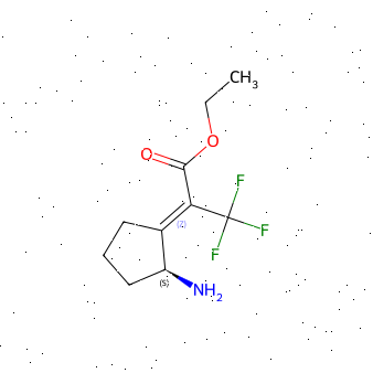 CCOC(=O)/C(=C1\CCC[C@@H]1N)C(F)(F)F